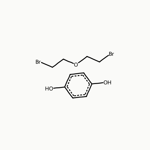 BrCCOCCBr.Oc1ccc(O)cc1